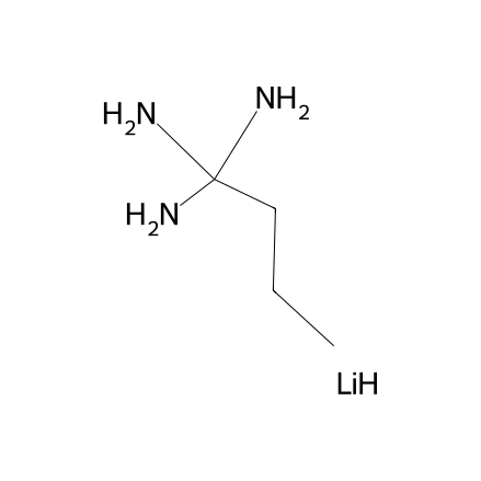 CCCC(N)(N)N.[LiH]